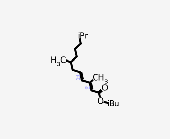 CCC(C)OC(=O)/C=C(C)/C=C/CC(C)CCCC(C)C